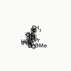 COc1cccc(S(=O)(=O)N(CC(C)C)C[C@@H](O)[C@H](Cc2ccccc2)NC(=O)[C@H](C(C)C)N2CCN(Cc3csc(C)n3)C2=O)c1